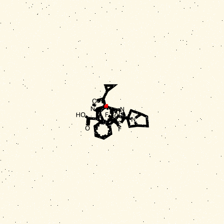 O=C(O)c1ccc2nc(N3C4CCC3CC(OCc3c(-c5ccccc5C(F)(F)F)noc3C3CC3)C4)sc2c1